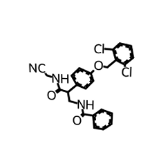 N#CCNC(=O)C(CNC(=O)c1ccccc1)c1ccc(OCc2c(Cl)cccc2Cl)cc1